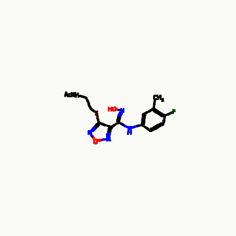 CC(=O)NCCSc1nonc1C(=NO)Nc1ccc(F)c(C)c1